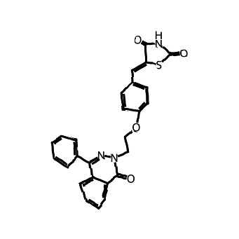 O=C1NC(=O)/C(=C/c2ccc(OCCn3nc(-c4ccccc4)c4ccccc4c3=O)cc2)S1